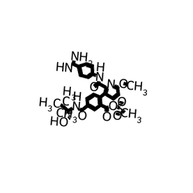 COc1ccc(-c2ccc(C(=O)N[C@H](CO)C(C)(C)C)cc2C(=O)OS(C)(=O)=O)c(C(=O)Nc2ccc(C(=N)N)cc2)n1